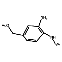 CCCNc1ccc(COC(C)=O)cc1N